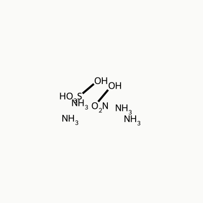 N.N.N.N.O=S(=O)(O)O.O=[N+]([O-])O